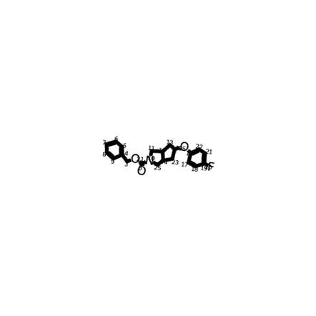 O=C(OCc1ccccc1)N1CC2CC(Oc3ccc(F)cc3)CC2C1